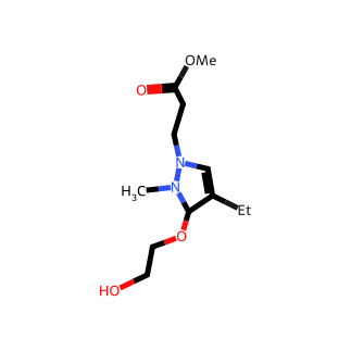 CCC1=CN(CCC(=O)OC)N(C)C1OCCO